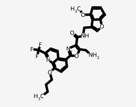 CCCCOc1ccc(-c2nc(C(=O)NCc3coc4cccc(OC)c34)c(CN)o2)c2ccc(C(F)(F)F)nc12